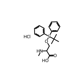 CNC(CO[Si](c1ccccc1)(c1ccccc1)C(C)(C)C)C(=O)O.Cl